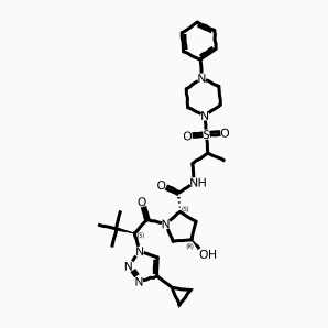 CC(CNC(=O)[C@@H]1C[C@@H](O)CN1C(=O)[C@@H](n1cc(C2CC2)nn1)C(C)(C)C)S(=O)(=O)N1CCN(c2ccccc2)CC1